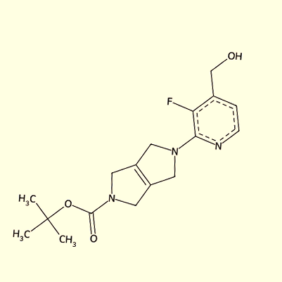 CC(C)(C)OC(=O)N1CC2=C(C1)CN(c1nccc(CO)c1F)C2